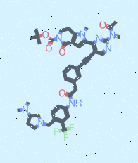 CC(=O)N(C)c1ncc(C#Cc2cccc(CC(=O)Nc3ccc(CN4CCC(N(C)C)C4)c(C(F)(F)F)c3)c2)c(-c2cc3c(n2C)CCN(C(=O)OC(C)(C)C)C3=O)n1